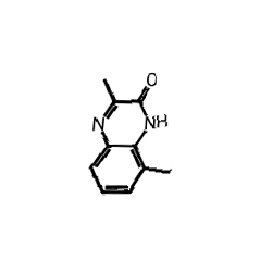 Cc1nc2cccc(C)c2[nH]c1=O